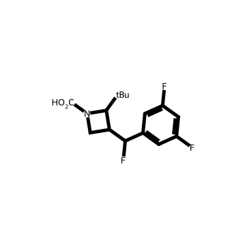 CC(C)(C)C1C(C(F)c2cc(F)cc(F)c2)CN1C(=O)O